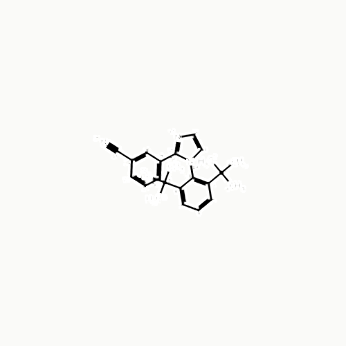 CC(C)(C)c1cccc(C(C)(C)C)c1-n1ccnc1-c1cccc(C#N)c1